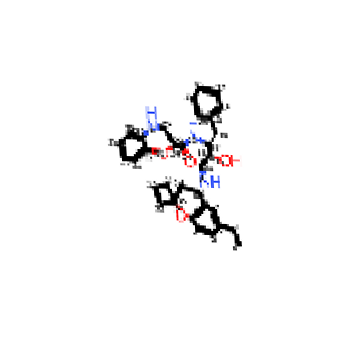 CCc1ccc2c(c1)[C@@H](NC[C@@H](O)[C@H](Cc1ccccc1)NC(=O)C1CNc3ccccc3O1)CC1(CCC1)O2